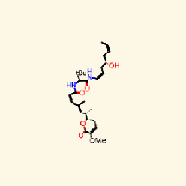 C/C=C\C[C@H](O)C/C=C\NC(=O)[C@@H](NC(=O)/C=C\C(C)=C\[C@H](C)[C@@H]1CC=C(OC)C(=O)O1)C(C)(C)C